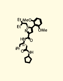 CCC(CC)Cn1nc(C(=O)N[C@H](CC(=O)NC2CCCC2)CC(C)C)cc1-c1c(OC)cccc1OC